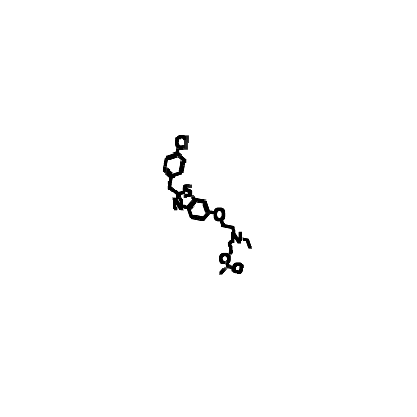 CCN(CCOC(C)=O)CCOc1ccc2nc(Cc3ccc(Cl)cc3)sc2c1